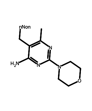 CCCCCCCCCCc1c(C)nc(N2CCOCC2)nc1N